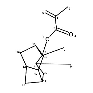 C=C(C)C(=O)OC1(C)C(C)CC2CC3CC1CC23